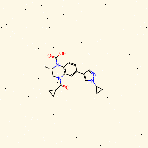 C[C@H]1CN(C(=O)C2CC2)c2cc(-c3cnn(C4CC4)c3)ccc2N1C(=O)O